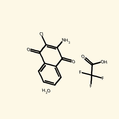 NC1=C(Cl)C(=O)c2ccccc2C1=O.O.O=C(O)C(F)(F)F